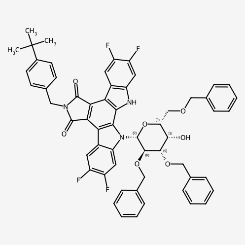 CC(C)(C)c1ccc(CN2C(=O)c3c(c4c5cc(F)c(F)cc5n([C@@H]5O[C@H](COCc6ccccc6)[C@H](O)[C@H](OCc6ccccc6)[C@H]5OCc5ccccc5)c4c4[nH]c5cc(F)c(F)cc5c34)C2=O)cc1